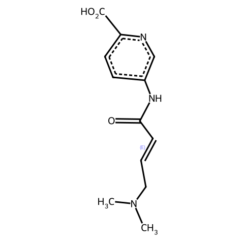 CN(C)C/C=C/C(=O)Nc1ccc(C(=O)O)nc1